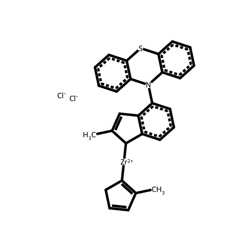 CC1=Cc2c(cccc2N2c3ccccc3Sc3ccccc32)[CH]1[Zr+2][C]1=C(C)C=CC1.[Cl-].[Cl-]